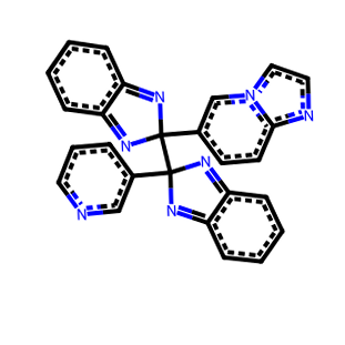 c1cncc(C2(C3(c4ccc5nccn5c4)N=c4ccccc4=N3)N=c3ccccc3=N2)c1